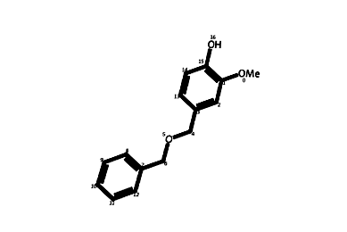 COc1cc(COCc2ccccc2)ccc1O